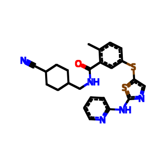 Cc1ccc(Sc2cnc(Nc3ccccn3)s2)cc1C(=O)NCC1CCC(C#N)CC1